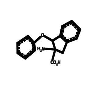 NC1(C(=O)O)Cc2ccccc2C1Oc1ccccc1